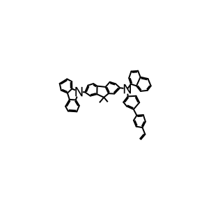 C=Cc1ccc(-c2ccc(N(c3ccc4c(c3)C(C)(C)c3cc(-n5c6ccccc6c6ccccc65)ccc3-4)c3cccc4ccccc34)cc2)cc1